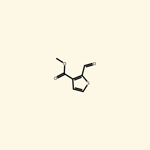 COC(=O)c1ccsc1C=O